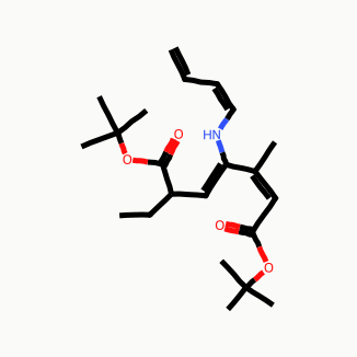 C=C/C=C\NC(=C\C(CC)C(=O)OC(C)(C)C)/C(C)=C\C(=O)OC(C)(C)C